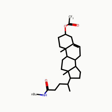 CCCCNC(=O)CCC(C)C1CCC2C3CC=C4CC(OC(=O)C(F)(F)F)CCC4(C)C3CCC12C